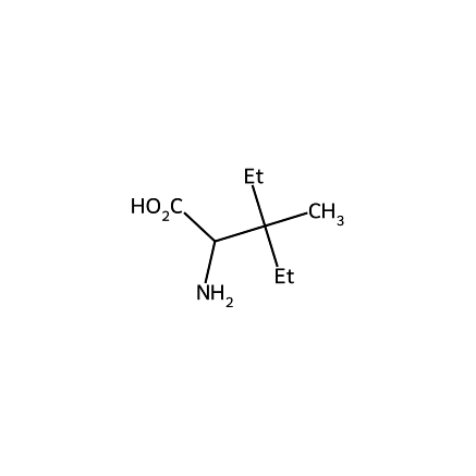 CCC(C)(CC)C(N)C(=O)O